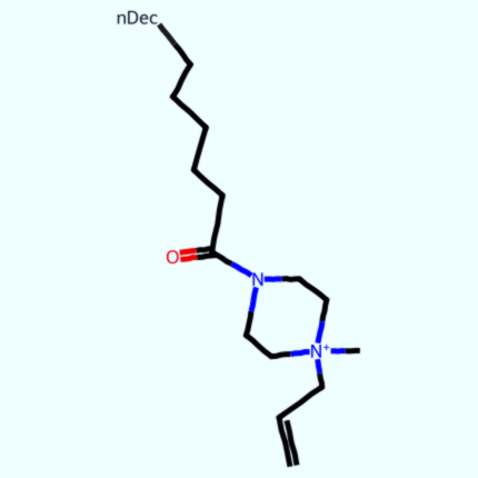 C=CC[N+]1(C)CCN(C(=O)CCCCCCCCCCCCCCC)CC1